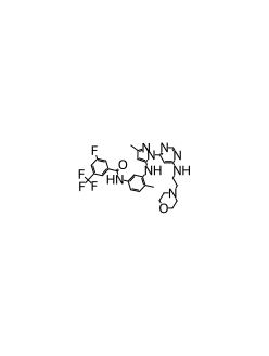 Cc1cc(Nc2cc(NC(=O)c3cc(F)cc(C(F)(F)F)c3)ccc2C)n(-c2cc(NCCN3CCOCC3)ncn2)n1